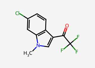 Cn1cc(C(=O)C(F)(F)F)c2ccc(Cl)cc21